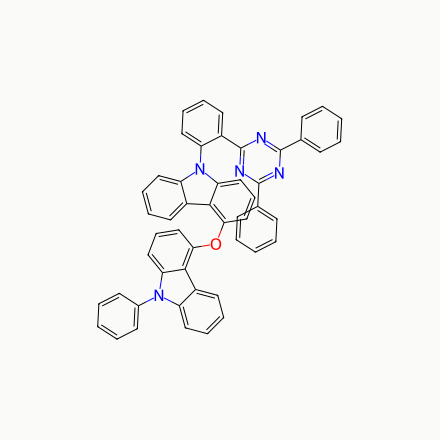 c1ccc(-c2nc(-c3ccccc3)nc(-c3ccccc3-n3c4ccccc4c4c(Oc5cccc6c5c5ccccc5n6-c5ccccc5)cccc43)n2)cc1